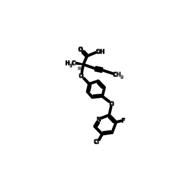 CC#C[C@](C)(Oc1ccc(Oc2ncc(Cl)cc2F)cc1)C(=O)O